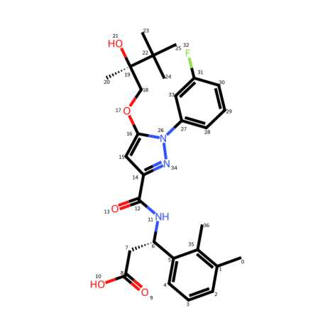 Cc1cccc([C@H](CC(=O)O)NC(=O)c2cc(OC[C@@](C)(O)C(C)(C)C)n(-c3cccc(F)c3)n2)c1C